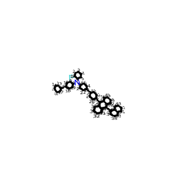 Fc1ccccc1N(c1ccc(-c2ccccc2)cc1)c1ccc(-c2ccc(-c3c4ccccc4c(-c4cccc5ccccc45)c4ccccc34)cc2)cc1